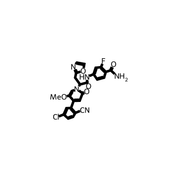 COc1cn(C(Cc2ncco2)C(=O)Nc2ccc(C(N)=O)c(F)c2)c(=O)cc1-c1cc(Cl)ccc1C#N